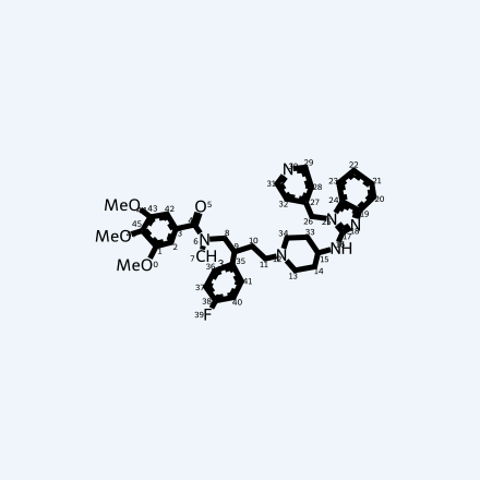 COc1cc(C(=O)N(C)CC(CCN2CCC(Nc3nc4ccccc4n3Cc3ccncc3)CC2)c2ccc(F)cc2)cc(OC)c1OC